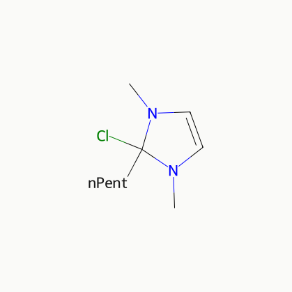 CCCCCC1(Cl)N(C)C=CN1C